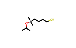 CC(C)O[Si](C)(C)CCCCS